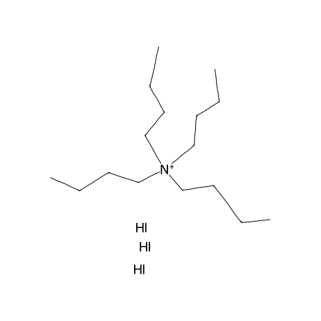 CCCC[N+](CCCC)(CCCC)CCCC.I.I.I